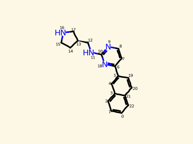 c1ccc2cc(-c3ccnc(NC[C@H]4CCNC4)n3)ccc2c1